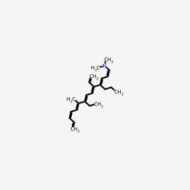 C=C\C=C/C=C(C)/C(=C/C=C(C=C)/C(=C/C=C\N(C)C)CCC)CC